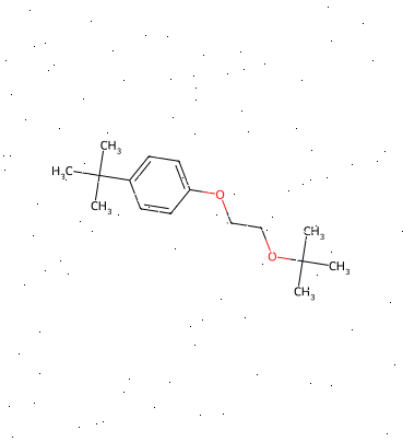 CC(C)(C)OC[CH]Oc1ccc(C(C)(C)C)cc1